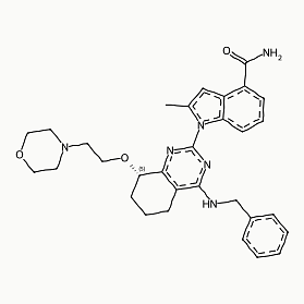 Cc1cc2c(C(N)=O)cccc2n1-c1nc(NCc2ccccc2)c2c(n1)[C@@H](OCCN1CCOCC1)CCC2